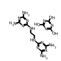 Nc1nc(N)nc(NCCNc2nc(N)nc(N)n2)n1.Oc1nc(O)nc(O)n1